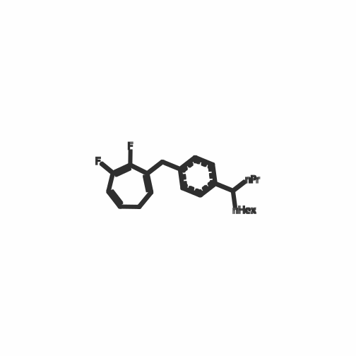 CCCCCCC(CCC)c1ccc(CC2=CCC=CC(F)=C2F)cc1